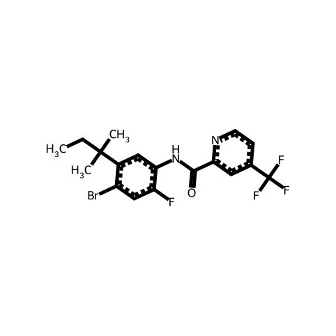 CCC(C)(C)c1cc(NC(=O)c2cc(C(F)(F)F)ccn2)c(F)cc1Br